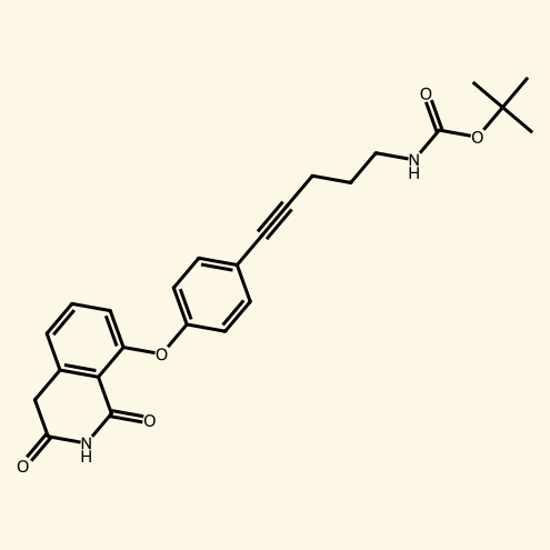 CC(C)(C)OC(=O)NCCCC#Cc1ccc(Oc2cccc3c2C(=O)NC(=O)C3)cc1